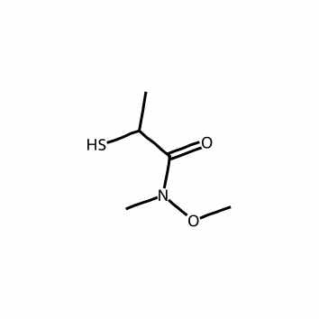 CON(C)C(=O)C(C)S